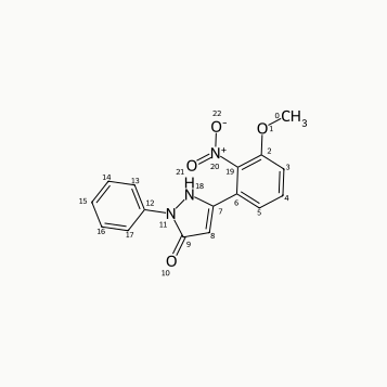 COc1cccc(-c2cc(=O)n(-c3ccccc3)[nH]2)c1[N+](=O)[O-]